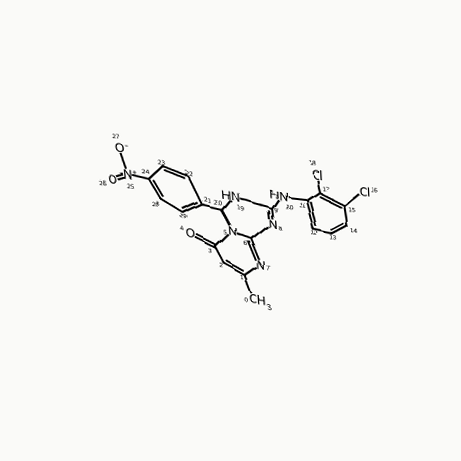 Cc1cc(=O)n2c(n1)N=C(Nc1cccc(Cl)c1Cl)NC2c1ccc([N+](=O)[O-])cc1